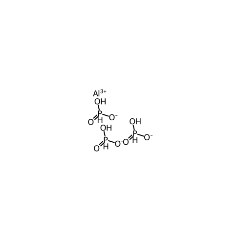 O=[PH]([O-])O.O=[PH]([O-])O.O=[PH]([O-])O.[Al+3]